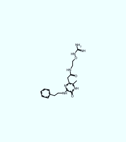 Cc1[nH]c(=O)c(NCCc2ccccc2)nc1CC(=O)NCCONC(=N)N